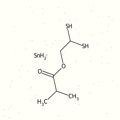 CC(C)C(=O)OCC(S)S.[SnH2]